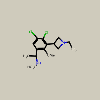 COc1c(C(C)NC(=O)O)cc(Cl)c(Cl)c1C1CN(CC(F)(F)F)C1